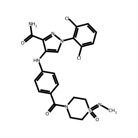 CN=S1(=O)CCN(C(=O)c2ccc(Nc3cn(-c4c(Cl)cccc4Cl)nc3C(N)=O)cc2)CC1